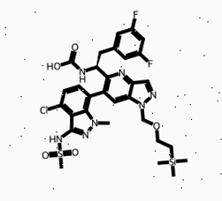 Cn1nc(NS(C)(=O)=O)c2c(Cl)ccc(-c3cc4c(cnn4COCC[Si](C)(C)C)nc3[C@H](Cc3cc(F)cc(F)c3)NC(=O)O)c21